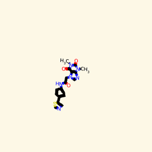 Cn1c(=O)c2c(ncn2CC(=O)Nc2ccc(-c3cncs3)cc2)n(C)c1=O